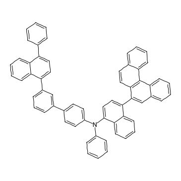 c1ccc(-c2ccc(-c3cccc(-c4ccc(N(c5ccccc5)c5ccc(-c6cc7ccccc7c7c6ccc6ccccc67)c6ccccc56)cc4)c3)c3ccccc23)cc1